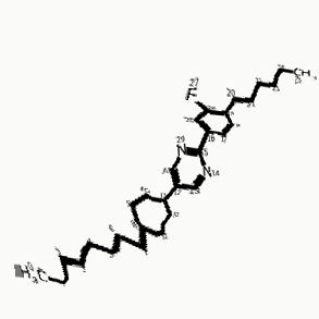 CCCCCCCCC1CCC(c2cnc(-c3ccc(CCCCCC)c(F)c3)nc2)CC1